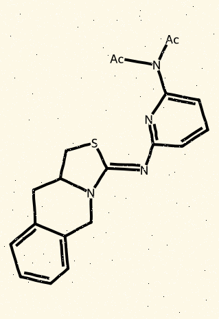 CC(=O)N(C(C)=O)c1cccc(N=C2SCC3Cc4ccccc4CN23)n1